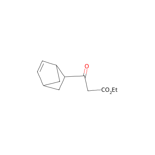 CCOC(=O)CC(=O)C1CC2C=CC1C2